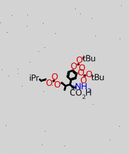 CC(C)CCOC(=O)OCC(C)C(c1ccc(OC(=O)OC(C)(C)C)c(OC(=O)OC(C)(C)C)c1)[C@H](N)C(=O)O